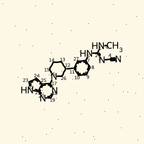 CNC(=NC#N)Nc1cccc(C2CCCN(c3ncnc4[nH]ccc34)C2)c1